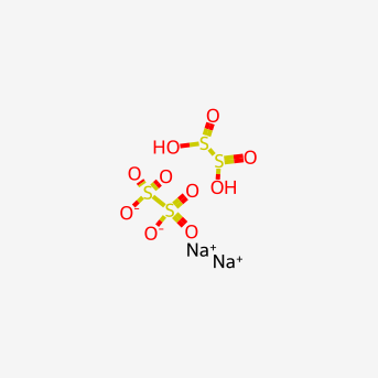 O=S(=O)([O-])S(=O)(=O)[O-].O=S(O)S(=O)O.[Na+].[Na+]